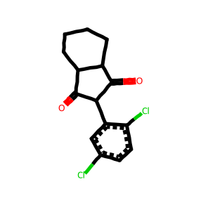 O=C1C(c2cc(Cl)ccc2Cl)C(=O)C2CCCCC12